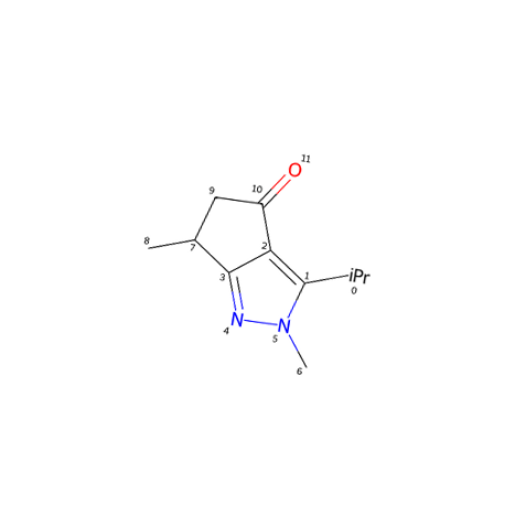 CC(C)c1c2c(nn1C)C(C)CC2=O